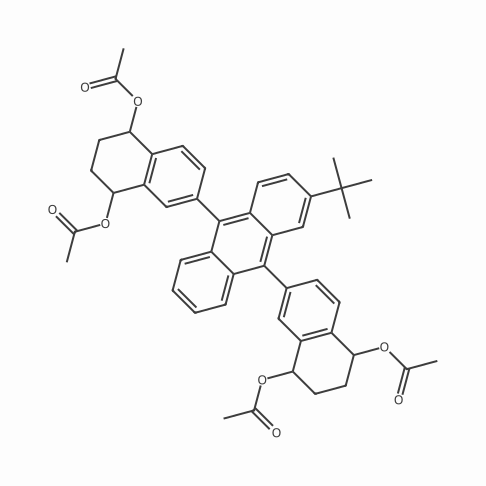 CC(=O)OC1CCC(OC(C)=O)c2cc(-c3c4ccccc4c(-c4ccc5c(c4)C(OC(C)=O)CCC5OC(C)=O)c4cc(C(C)(C)C)ccc34)ccc21